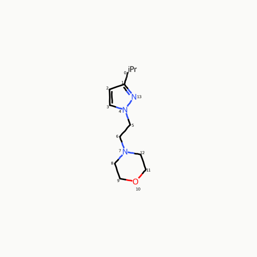 CC(C)c1ccn(CCN2CCOCC2)n1